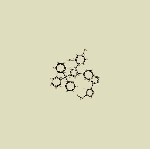 CSc1ccc(-c2cnc3ccc(-c4cn(C(c5ccccc5)(c5ccccc5)c5ccccc5)nc4-c4ccc(F)cc4F)cn23)s1